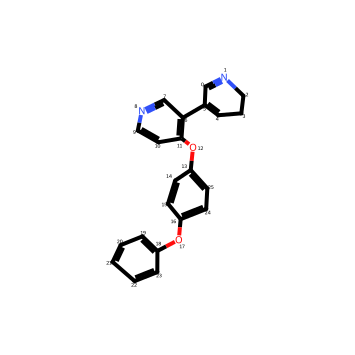 C1=NCCC=C1c1cnccc1Oc1ccc(Oc2ccccc2)cc1